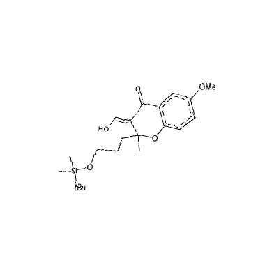 COc1ccc2c(c1)C(=O)C(=CO)C(C)(CCCO[Si](C)(C)C(C)(C)C)O2